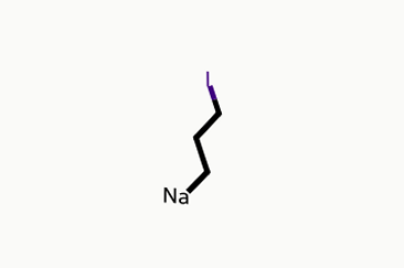 [Na][CH2]CCI